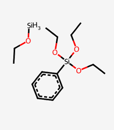 CCO[SiH3].CCO[Si](OCC)(OCC)c1ccccc1